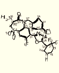 N[C@H]1CS(=O)(=O)c2cc(F)c(-c3nnc(C4CNCCC4(F)F)o3)cc2N(Cc2ccc(Cl)cc2)C1=O